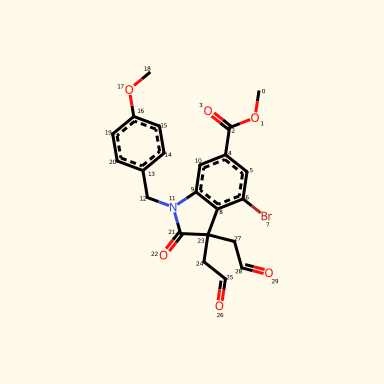 COC(=O)c1cc(Br)c2c(c1)N(Cc1ccc(OC)cc1)C(=O)C2(CC=O)CC=O